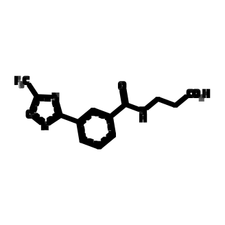 O=C(O)CCNC(=O)c1cccc(-c2noc(C(F)(F)F)n2)c1